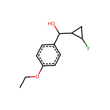 CCOc1ccc(C(O)C2CC2F)cc1